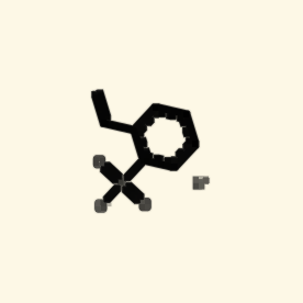 C=Cc1ccccc1S(=O)(=O)[O-].[Li+]